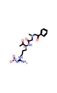 CC(=O)[C@H](CCCN/C(N)=N\[N+](=O)[O-])NC(=O)CN(C)CC(=O)c1ccccc1